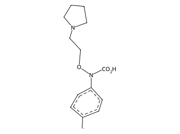 [CH2]c1ccc(N(OCCN2CCCC2)C(=O)O)cc1